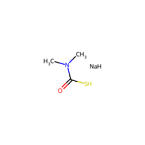 CN(C)C(=O)S.[NaH]